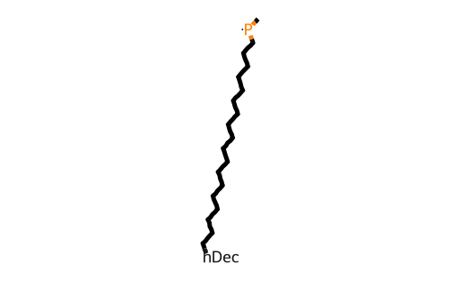 CCCCCCCCCCCCCCCCCCCCCCCCCCCC[P]C